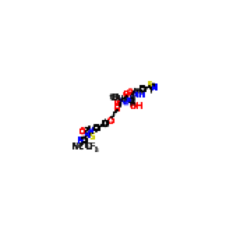 Cc1ncsc1-c1ccc([C@H](C)NC(=O)[C@@H]2C[C@@H](O)CN2C(=O)[C@@H](NC(=O)COCCCCOc2ccc(-c3ccc(N4C(=S)N(c5cnc(C#N)c(C(F)(F)F)c5)C(=O)C4(C)C)cc3)cc2)C(C)(C)C)cc1